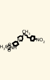 CN(CCc1ccc([N+](=O)[O-])cc1)C1CCN(c2ccc(NS(C)(=O)=O)cc2)CC1